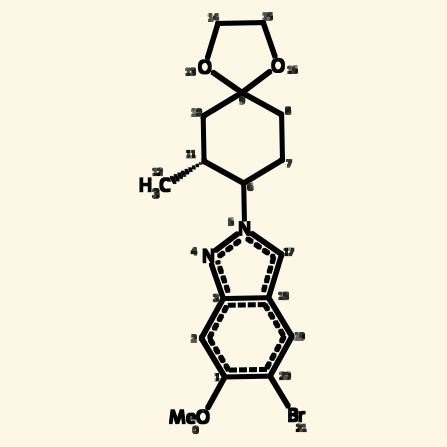 COc1cc2nn(C3CCC4(C[C@H]3C)OCCO4)cc2cc1Br